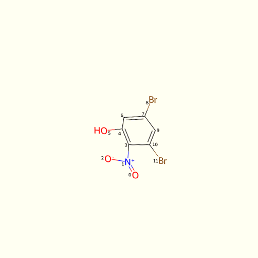 O=[N+]([O-])c1c(O)cc(Br)cc1Br